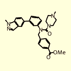 COC(=O)c1ccc(CN(C(=O)N2CCN(C)CC2)c2cccc(-c3ccc4c(cnn4C)c3)c2)cc1